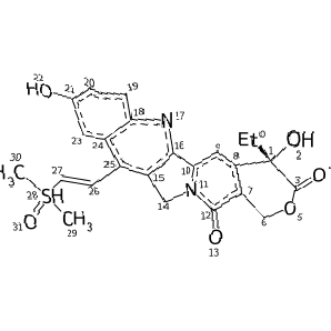 CC[C@@]1(O)C(=O)OCc2c1cc1n(c2=O)Cc2c-1nc1ccc(O)cc1c2/C=C/[SH](C)(C)=O